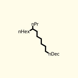 CCCCCCCCCCCCCCCCC(CCC)CCCCCC